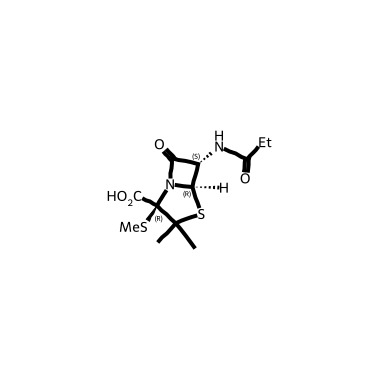 CCC(=O)N[C@H]1C(=O)N2[C@@H]1SC(C)(C)[C@]2(SC)C(=O)O